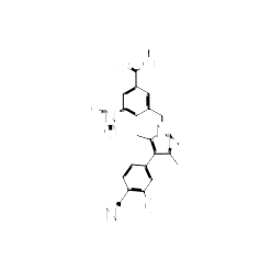 COC(=O)c1cc(Cn2nc(C)c(-c3ccc(C#N)c(Cl)c3)c2C)cc([N+](=O)[O-])c1